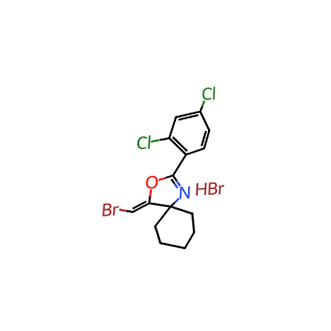 Br.Clc1ccc(C2=NC3(CCCCC3)/C(=C/Br)O2)c(Cl)c1